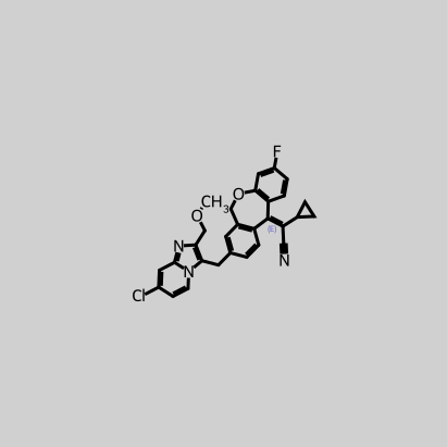 COCc1nc2cc(Cl)ccn2c1Cc1ccc2c(c1)COc1cc(F)ccc1/C2=C(/C#N)C1CC1